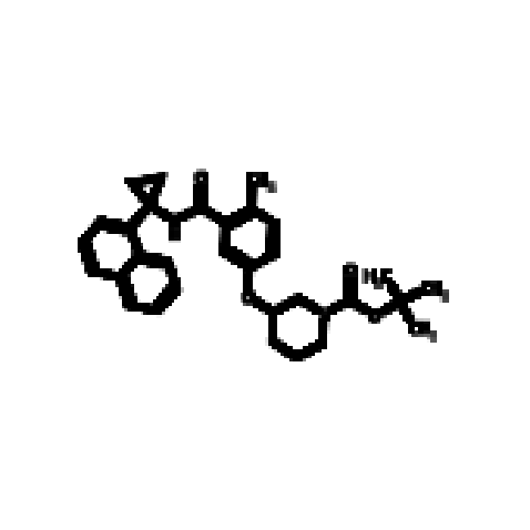 Cc1ccc(OC2CCCN(C(=O)OC(C)(C)C)C2)cc1C(=O)NC1(c2cccc3ccccc23)CC1